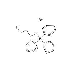 FCCCC[P+](c1ccccc1)(c1ccccc1)c1ccccc1.[Br-]